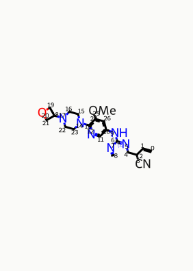 C=CC(C#N)C/N=C(\N=C)Nc1cnc(N2CCN(C3COC3)CC2)c(OC)c1